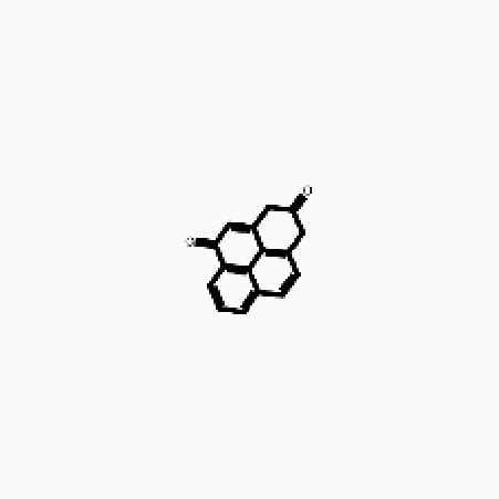 O=C1CC2=CC(=O)c3cccc4ccc(c2c34)C1